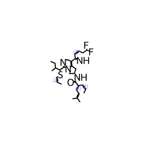 C/C=C\SC(C1=NCC(C(=N)/C=C\CC(F)F)=C2CC(NC(=O)C(/C=C\C)=C/C=C(C)C)CN12)C(C)CC